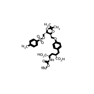 Cc1ccc(S(=O)(=O)OC[C@@H]2OC(C)(C)O[C@H]2COc2ccc(C[C@@H](C[C@H](NC(=O)OC(C)(C)C)C(=O)O)C(=O)O)cc2)cc1